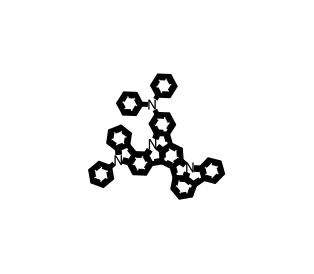 c1ccc(N(c2ccccc2)c2ccc3c4cc5c(c6cccc7c8ccccc8n5c76)c5c6ccc7c(c8ccccc8n7-c7ccccc7)c6n(c3c2)c45)cc1